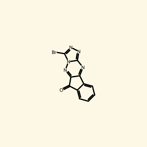 O=C1c2ccccc2-c2nc3nnc(Br)n3nc21